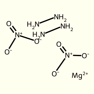 NN.NN.O=[N+]([O-])[O-].O=[N+]([O-])[O-].[Mg+2]